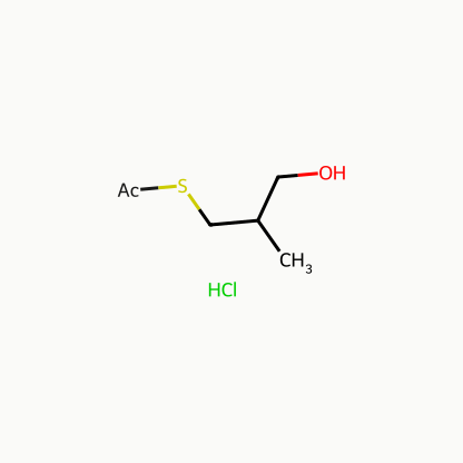 CC(=O)SCC(C)CO.Cl